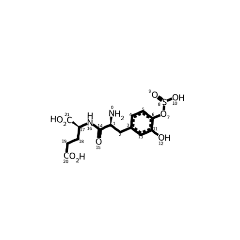 N[C@@H](Cc1ccc(OS(=O)O)c(O)c1)C(=O)N[C@@H](CCC(=O)O)C(=O)O